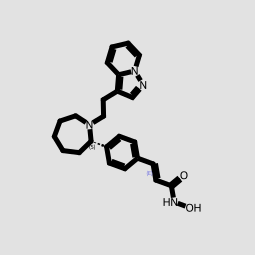 O=C(/C=C/c1ccc([C@@H]2CCCCCN2CCc2cnn3ccccc23)cc1)NO